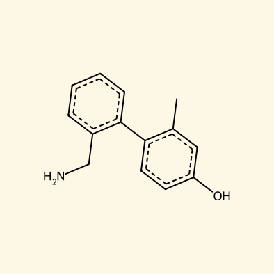 Cc1cc(O)ccc1-c1ccccc1CN